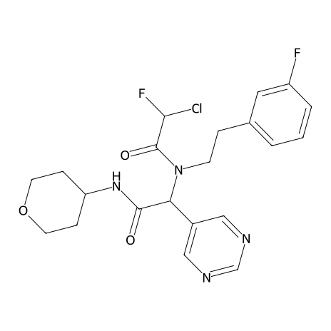 O=C(NC1CCOCC1)C(c1cncnc1)N(CCc1cccc(F)c1)C(=O)C(F)Cl